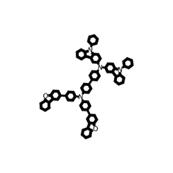 c1ccc(-n2c3ccccc3c3cc(N(c4ccc(-c5ccc(N(c6ccc(-c7ccc8oc9ccccc9c8c7)cc6)c6ccc(-c7ccc8oc9ccccc9c8c7)cc6)cc5)cc4)c4ccc5c(c4)c4ccccc4n5-c4ccccc4)ccc32)cc1